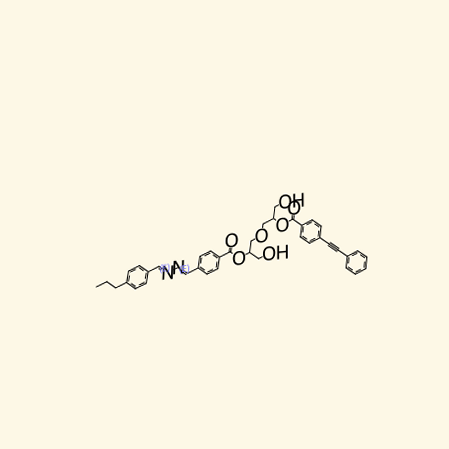 CCCc1ccc(/C=N/N=C/c2ccc(C(=O)OC(CO)COCC(CO)OC(=O)c3ccc(C#Cc4ccccc4)cc3)cc2)cc1